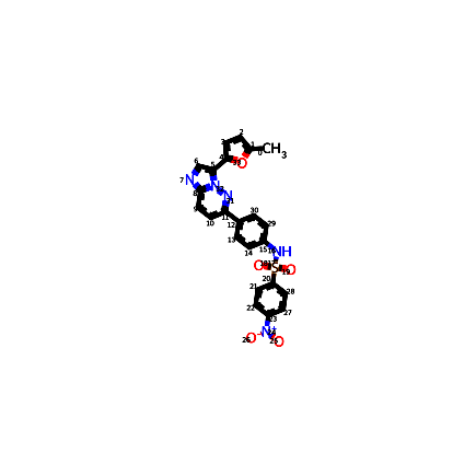 Cc1ccc(-c2cnc3ccc(-c4ccc(NS(=O)(=O)c5ccc([N+](=O)[O-])cc5)cc4)nn23)o1